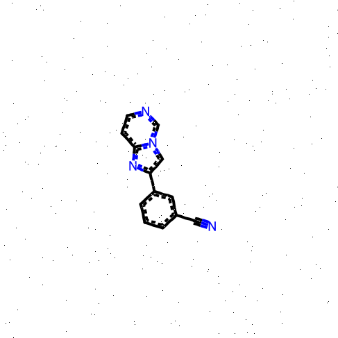 N#Cc1cccc(-c2cn3cnccc3n2)c1